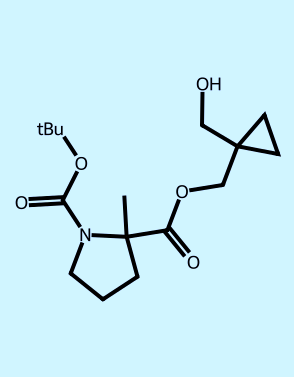 CC(C)(C)OC(=O)N1CCCC1(C)C(=O)OCC1(CO)CC1